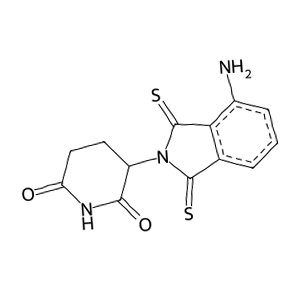 Nc1cccc2c1C(=S)N(C1CCC(=O)NC1=O)C2=S